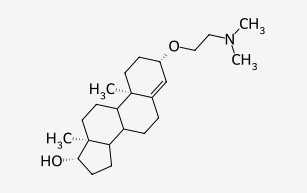 CN(C)CCO[C@@H]1C=C2CCC3C(CC[C@@]4(C)C3CC[C@@H]4O)[C@@]2(C)CC1